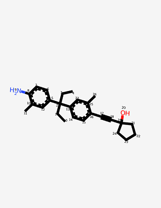 CCC(CC)(c1ccc(N)c(C)c1)c1ccc(C#CC2(O)CCCC2)c(C)c1